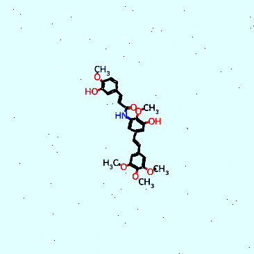 COc1ccc(/C=C/C(=O)Nc2cc(/C=C/c3cc(OC)c(OC)c(OC)c3)cc(O)c2OC)cc1O